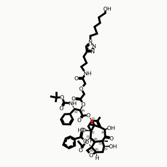 CC(=O)O[C@@]12CO[C@@H]1C[C@H](O)[C@@]1(C)C(=O)[C@H](O)C3=C(C)[C@@H](OC(=O)[C@H](OC(=O)COCC(=O)NCCCc4cn(CCCCCCO)nn4)[C@@H](NC(=O)OC(C)(C)C)C4C=CC=CC4)C[C@@](O)([C@@H](OC(=O)c4ccccc4)[C@H]21)C3(C)C